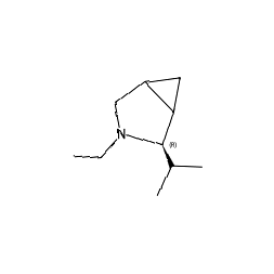 CCN1CC2CC2[C@H]1C(C)C